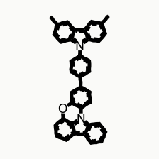 Cc1ccc2c(c1)c1cc(C)ccc1n2-c1ccc(-c2ccc3c(c2)Oc2cccc4c5ccccc5n-3c24)cc1